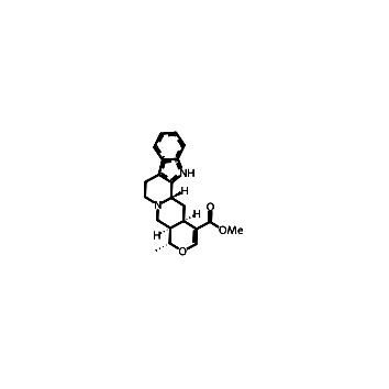 COC(=O)C1=CO[C@H](C)[C@H]2CN3CCc4c([nH]c5ccccc45)[C@@H]3C[C@@H]12